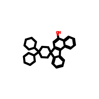 Oc1cc2c(c3ccccc13)-c1ccccc1C21CCC(C2CCCCC2)(C2CCCCC2)CC1